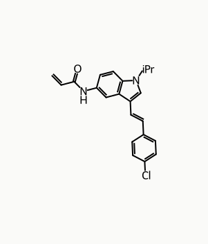 C=CC(=O)Nc1ccc2c(c1)c(/C=C/c1ccc(Cl)cc1)cn2C(C)C